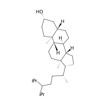 CC(C)C(CC[C@@H](C)[C@H]1CC[C@H]2[C@@H]3CC[C@H]4C[C@@H](O)CC[C@]4(C)[C@H]3CC[C@]12C)C(C)C